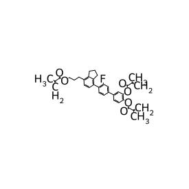 C=C(C)C(=O)OCCCc1ccc(-c2ccc(-c3ccc(OC(=O)C(=C)C)c(OC(=O)C(=C)C)c3)cc2F)c2c1CCC2